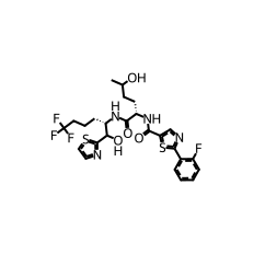 CC(O)CC[C@H](NC(=O)c1cnc(-c2ccccc2F)s1)C(=O)N[C@@H](CCCC(F)(F)F)C(O)c1nccs1